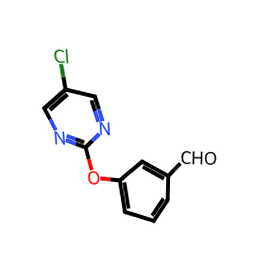 O=Cc1cccc(Oc2ncc(Cl)cn2)c1